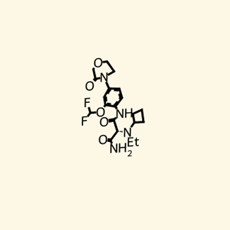 CCN(C1CCC1)[C@H](C(N)=O)C(=O)Nc1ccc(N2CCOCC2=O)cc1OC(F)F